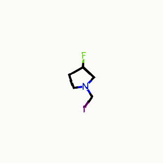 FC1CCN(CI)C1